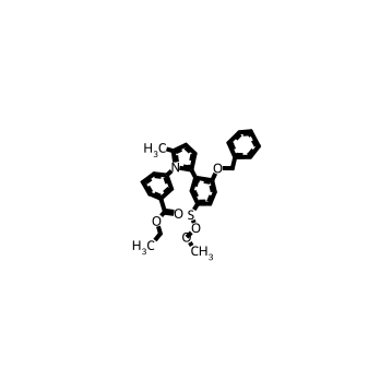 CCOC(=O)c1cccc(-n2c(C)ccc2-c2cc(SOOC)ccc2OCc2ccccc2)c1